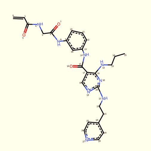 C=CC(=O)NCC(=O)Nc1cccc(NC(=O)c2cnc(NCCc3ccncc3)nc2NCCC)c1